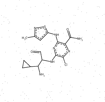 Cc1cc(Nc2nc(NC(C=O)C(N)C3CC3)c(Cl)nc2C(N)=O)sn1